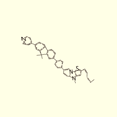 C/C=C\C=C/c1cc2c(s1)N1C=C(c3ccc(-c4ccc5c(c4)C(C)(C)c4cc(-c6ccncc6)ccc4-5)cc3)C=CC1N2C